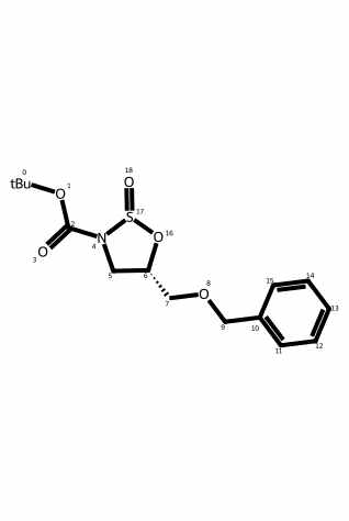 CC(C)(C)OC(=O)N1C[C@@H](COCc2ccccc2)OS1=O